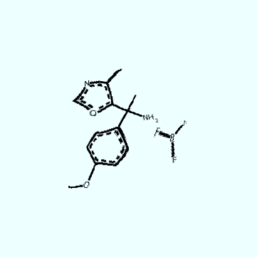 COc1ccc(C(C)(N)c2ocnc2C)cc1.FB(F)F